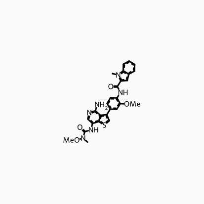 COc1cc(-c2csc3c(NC(=O)N(C)OC)cnc(N)c23)ccc1NC(=O)c1cc2ccccc2n1C